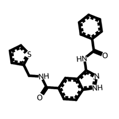 O=C(NCc1cccs1)c1ccc2[nH]nc(NC(=O)c3ccccc3)c2c1